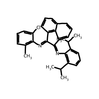 Cc1cccc(Cl)c1/N=C1/C(=N/c2c(C(C)C)cccc2C(C)C)c2cccc3cccc1c23